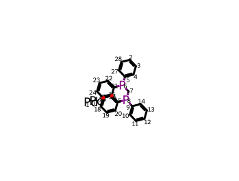 [Pd].[Pd].c1ccc(P(CP(c2ccccc2)c2ccccc2)c2ccccc2)cc1